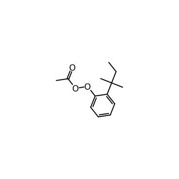 CCC(C)(C)c1ccccc1OOC(C)=O